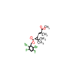 COC(=O)/C(C)=C/[C@@H]1[C@@H](C(=O)OCc2c(Br)c(F)cc(F)c2Br)C1(C)C